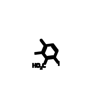 Cc1ccc(I)c(C(=O)O)c1C